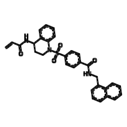 C=CC(=O)NC1CCN(S(=O)(=O)c2ccc(C(=O)NCc3cccc4ccccc34)cc2)c2ccccc21